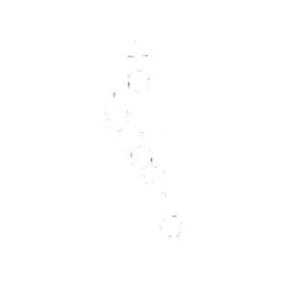 Cc1ccc(Nc2nccc(N(C)c3ccc4c(c3)nc(NCc3ccc(F)cc3)n4C)n2)cc1S(N)(=O)=O.Cl